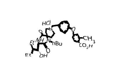 CCCCN1C(=O)[C@@H]([C@H](O)C(CC)CC)NC(=O)C12CCN(Cc1ccc(Oc3ccc(C(=O)O)c(C)c3)cc1)CC2.Cl